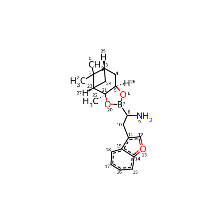 CC1(C)[C@@H]2C[C@H]3OB(C(N)Cc4coc5ccccc45)O[C@@]3(C)[C@H]1C2